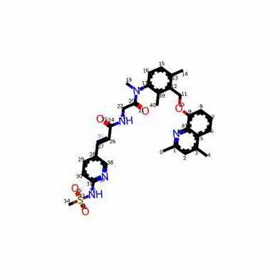 Cc1cc(C)c2cccc(OCc3c(C)ccc(N(C)C(=O)CNC(=O)/C=C/c4ccc(NS(C)(=O)=O)nc4)c3C)c2n1